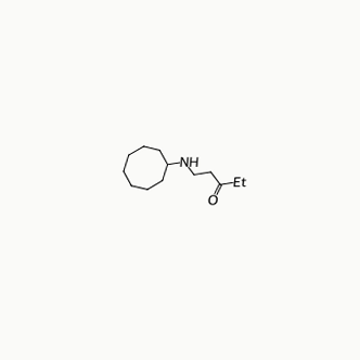 CCC(=O)CCNC1CCCCCCC1